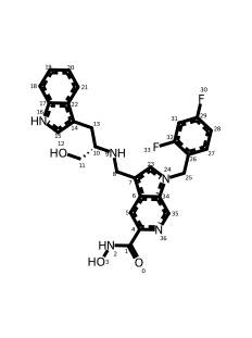 O=C(NO)c1cc2c(CN[C@H](CO)Cc3c[nH]c4ccccc34)cn(Cc3ccc(F)cc3F)c2cn1